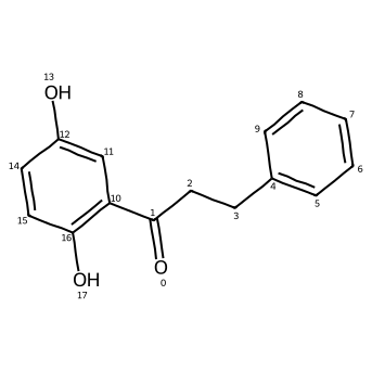 O=C(CCc1ccccc1)c1cc(O)ccc1O